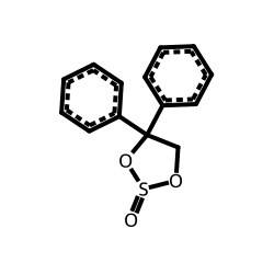 O=S1OCC(c2ccccc2)(c2ccccc2)O1